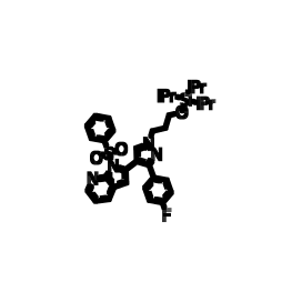 CC(C)[Si](OCCCn1cc(-c2cc3cccnc3n2S(=O)(=O)c2ccccc2)c(-c2ccc(F)cc2)n1)(C(C)C)C(C)C